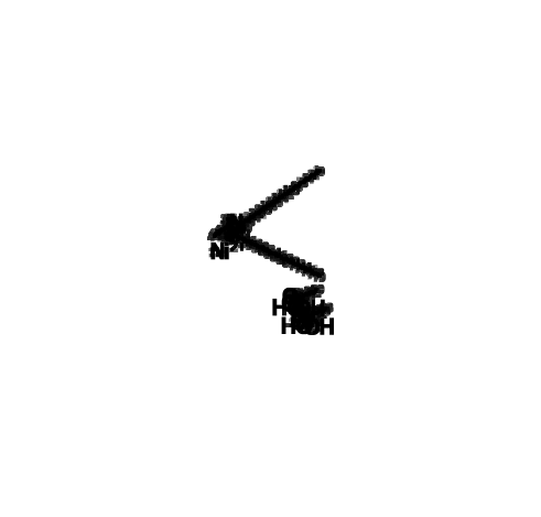 CCCCCCCCCCCCCCCCCCCCCCCCC=CCCc1ccccc1N=C(CC)C(CCCCCC)=Nc1ccccc1CCC=CCCCCCCCCCCCCCCCCCCCCCCCC.CCCCCc1cc(O)c(O)c(C(=O)[O-])c1CC.CCCCCc1cc(O)c(O)c(C(=O)[O-])c1CC.[Ni+2]